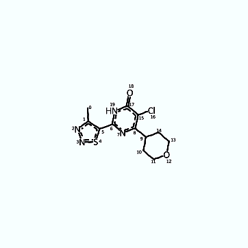 Cc1nnsc1-c1nc(C2CCOCC2)c(Cl)c(=O)[nH]1